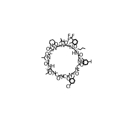 CCCC[C@@H]1NC(=O)[C@H](Cc2cccc(I)c2)NC(=O)CN(C)C(=O)[C@H](Cc2ccc(Cl)cc2)N(C)C(=O)CN(C)C(=O)CN(C)C(=O)[C@H]([C@@H](C)CC)NC(=O)[C@H](CC(C)C)N(C)C(=O)C[C@@H](C(=O)N2CCCCC2)N(C)C(=O)[C@H](CC(C)C)NC(=O)[C@H](Cc2ccccc2C(F)(F)F)N(C)C1=O